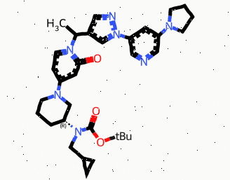 CC(c1cnn(-c2cncc(N3CCCC3)c2)c1)n1ccc(N2CCC[C@@H](N(CC3CC3)C(=O)OC(C)(C)C)C2)cc1=O